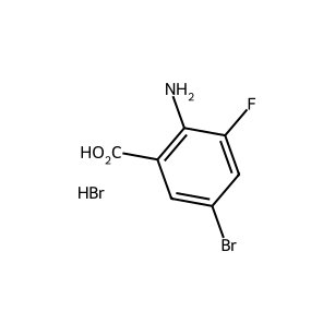 Br.Nc1c(F)cc(Br)cc1C(=O)O